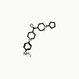 Nc1ccc(N2CCC(C(=O)C3CCN(C4CCCC4)CC3)CC2)cc1